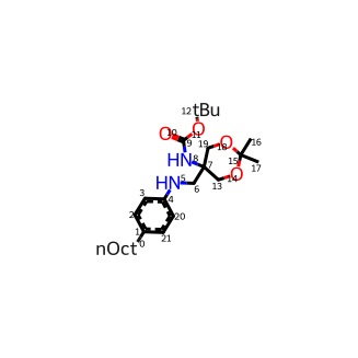 CCCCCCCCc1ccc(NCC2(NC(=O)OC(C)(C)C)COC(C)(C)OC2)cc1